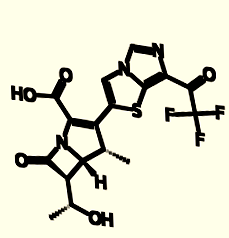 C[C@@H](O)[C@H]1C(=O)N2C(C(=O)O)=C(c3cn4cnc(C(=O)C(F)(F)F)c4s3)[C@H](C)[C@H]12